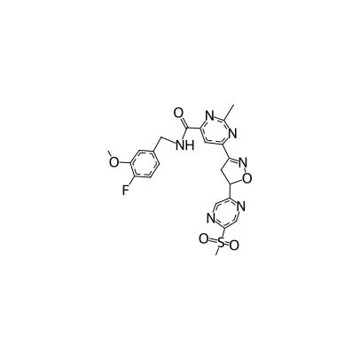 COc1cc(CNC(=O)c2cc(C3=NOC(c4cnc(S(C)(=O)=O)cn4)C3)nc(C)n2)ccc1F